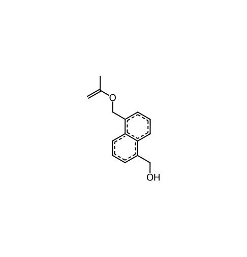 C=C(C)OCc1cccc2c(CO)cccc12